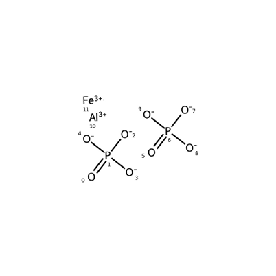 O=P([O-])([O-])[O-].O=P([O-])([O-])[O-].[Al+3].[Fe+3]